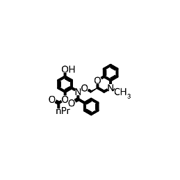 CCCC(=O)Oc1ccc(O)cc1N(OC[C@@H]1CN(C)c2ccccc2O1)C(=O)c1ccccc1